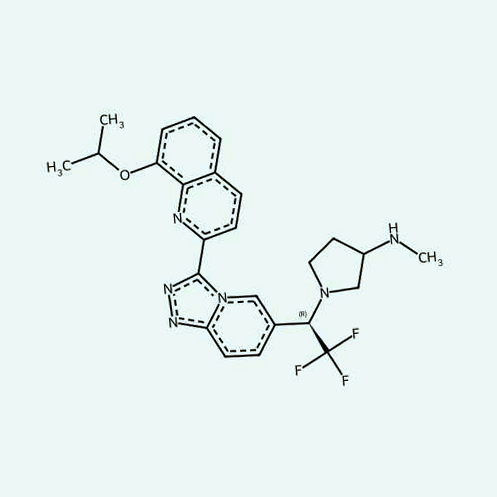 CNC1CCN([C@H](c2ccc3nnc(-c4ccc5cccc(OC(C)C)c5n4)n3c2)C(F)(F)F)C1